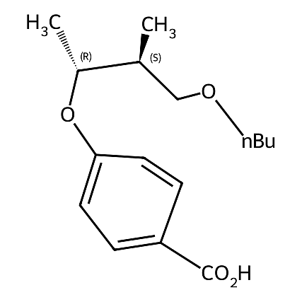 CCCCOC[C@H](C)[C@@H](C)Oc1ccc(C(=O)O)cc1